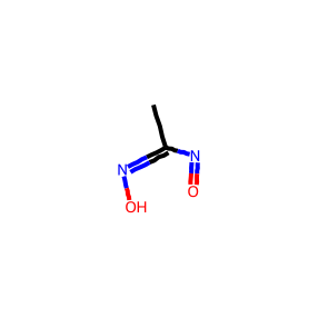 CC(N=O)=NO